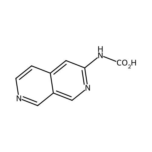 O=C(O)Nc1cc2ccncc2cn1